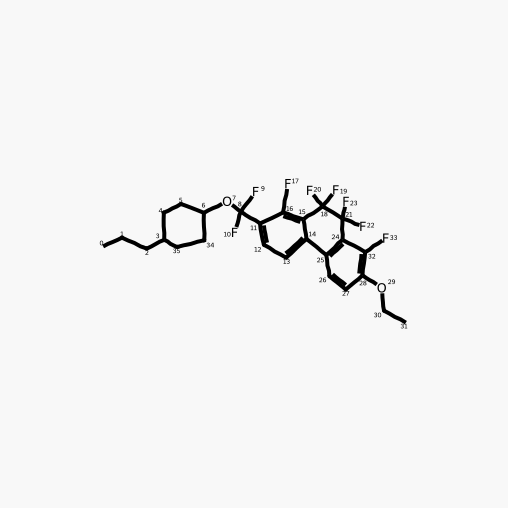 CCCC1CCC(OC(F)(F)c2ccc3c(c2F)C(F)(F)C(F)(F)c2c-3ccc(OCC)c2F)CC1